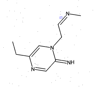 CCc1cn(C/C=N\C)c(=N)cn1